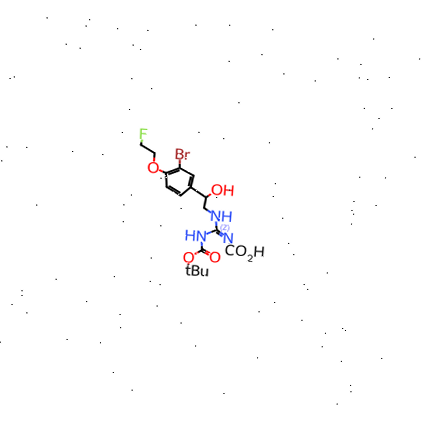 CC(C)(C)OC(=O)N/C(=N\C(=O)O)NCC(O)c1ccc(OCCF)c(Br)c1